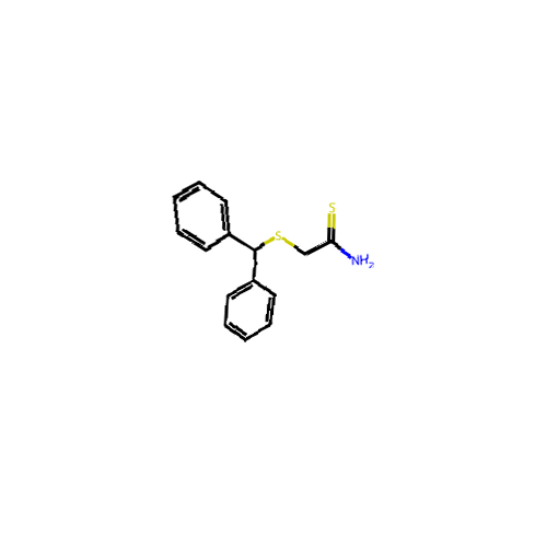 NC(=S)CSC(c1ccccc1)c1ccccc1